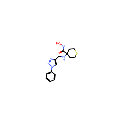 O=C(NO)C1(NCc2cn(-c3ccccc3)nn2)CCSCC1